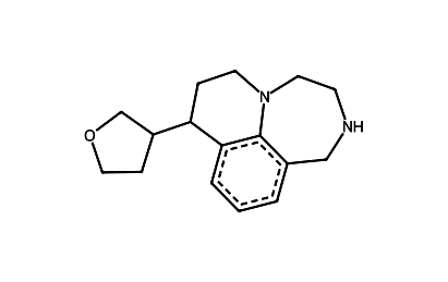 c1cc2c3c(c1)C(C1CCOC1)CCN3CCNC2